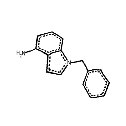 Nc1cccc2c1ccn2Cc1ccccc1